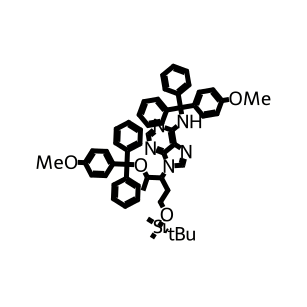 COc1ccc(C(Nc2ncnc3c2ncn3C(CCO[Si](C)(C)C(C)(C)C)C(C)OC(c2ccccc2)(c2ccccc2)c2ccc(OC)cc2)(c2ccccc2)c2ccccc2)cc1